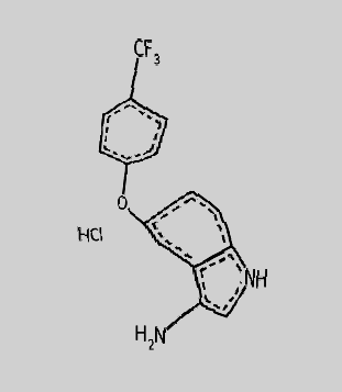 Cl.Nc1c[nH]c2ccc(Oc3ccc(C(F)(F)F)cc3)cc12